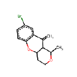 C=C1c2cc(Br)ccc2OC2CCOC(C)C12